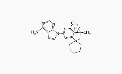 Cc1cc(-n2ccc3c(N)ncnc32)cc2c1C(C)(C)CC21CCCCC1